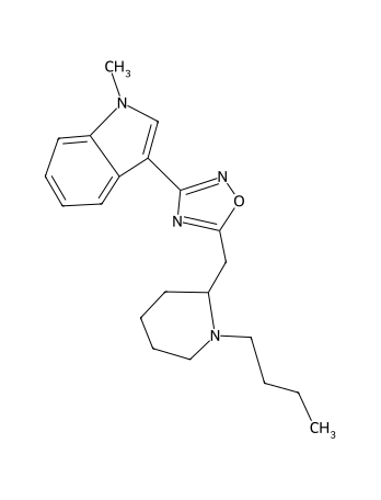 CCCCN1CCCCC1Cc1nc(-c2cn(C)c3ccccc23)no1